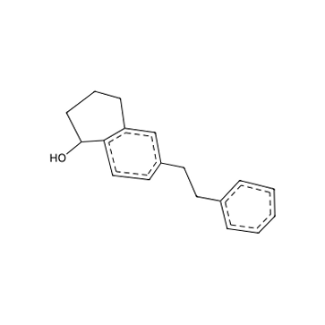 OC1CCCc2cc(CCc3ccccc3)ccc21